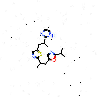 CC(C)c1ncc(CC(C)c2ncc(CC(C)c3ncc[nH]3)s2)o1